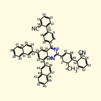 CC1CC(c2nc(-c3ccc(-c4ccccc4C#N)cc3)c3cc(-c4ccc5ccccc5c4)cc(-c4ccc5ccccc5c4)c3n2)=CC=C1C1C=CC=CC1C#N